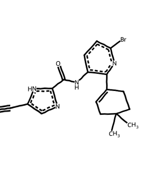 CC1(C)CC=C(c2nc(Br)ccc2NC(=O)c2ncc(C#N)[nH]2)CC1